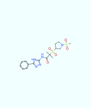 CC(C)(C(=O)Nc1nnc(-c2ccccc2)[nH]1)S(=O)(=O)C1CCN(S(C)(=O)=O)C1